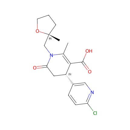 CC1=C(C(=O)O)[C@H](c2ccc(Cl)nc2)CC(=O)N1C[C@@]1(C)CCCO1